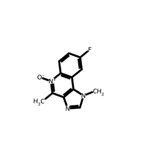 Cc1c2ncn(C)c2c2cc(F)ccc2[n+]1[O-]